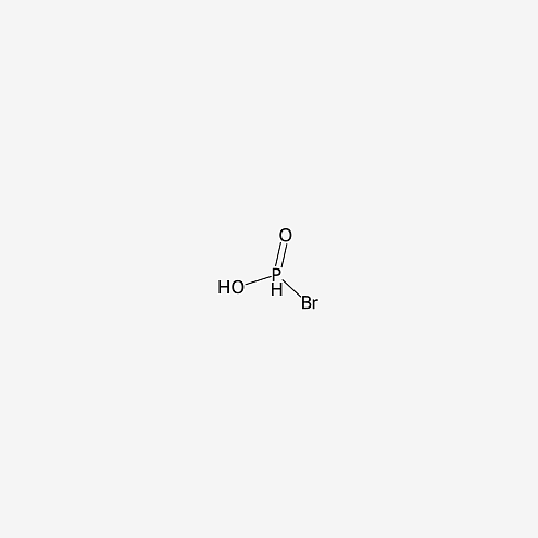 O=[PH](O)Br